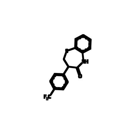 O=C1Nc2ccccc2SCC1c1ccc(C(F)(F)F)cc1